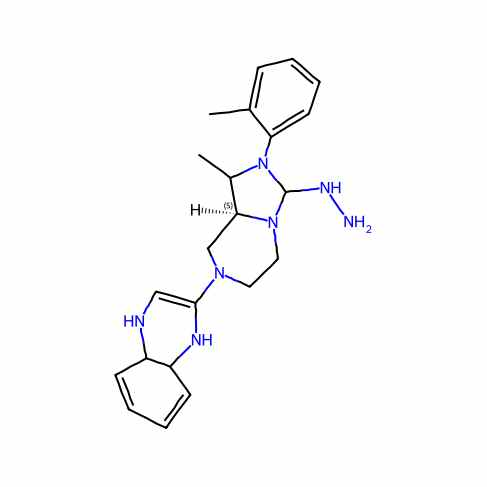 Cc1ccccc1N1C(C)[C@@H]2CN(C3=CNC4C=CC=CC4N3)CCN2C1NN